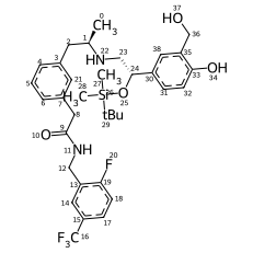 C[C@H](Cc1cccc(CC(=O)NCc2cc(C(F)(F)F)ccc2F)c1)NC[C@@H](O[Si](C)(C)C(C)(C)C)c1ccc(O)c(CO)c1